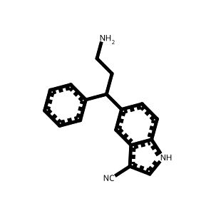 N#Cc1c[nH]c2ccc(C(CCN)c3ccccc3)cc12